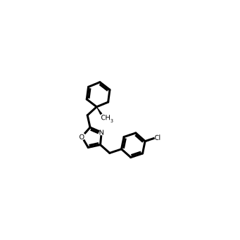 C[C@@]1(Cc2nc(Cc3ccc(Cl)cc3)co2)C=CC=CC1